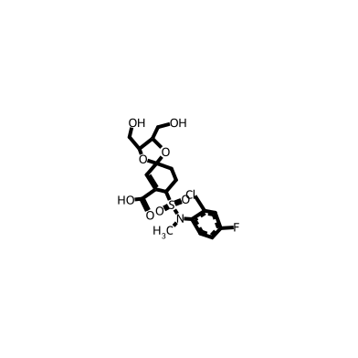 CN(c1ccc(F)cc1Cl)S(=O)(=O)C1CCC2(C=C1C(=O)O)OC(CO)C(CO)O2